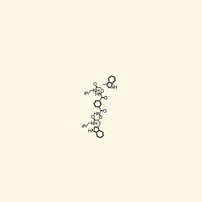 CC(C)CNC(=O)[C@H](Cc1c[nH]c2ccccc12)ONC(=O)c1cccc(C(=O)NO[C@@H](Cc2c[nH]c3ccccc23)C(=O)NCC(C)C)c1